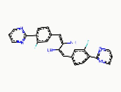 NC(=C/c1ccc(-c2ncccn2)c(F)c1)/C(N)=C\c1ccc(-c2ncccn2)c(F)c1